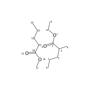 CCCC(C)C(=O)OCC.CCCCC(=O)OC